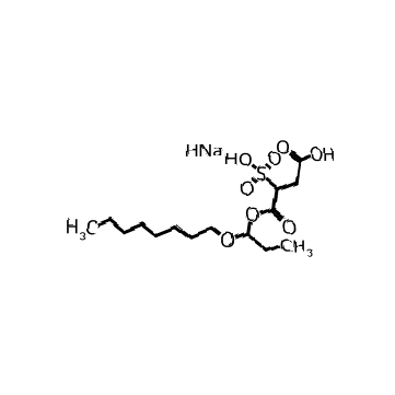 CCCCCCCCOC(CC)OC(=O)C(CC(=O)O)S(=O)(=O)O.[NaH]